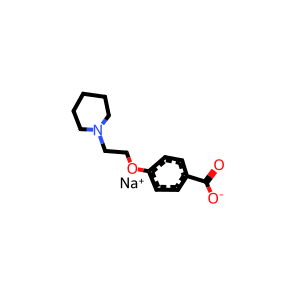 O=C([O-])c1ccc(OCCN2CCCCC2)cc1.[Na+]